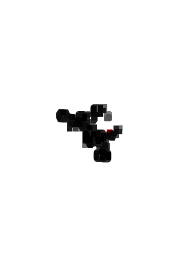 O=C(N[C@H](c1cn2ncc(C3CS(=O)(=O)CCN3C(=O)C34CC(F)(C3)C4)nc2n1)C1CCC(C(F)(F)F)CC1)OCc1ccccc1